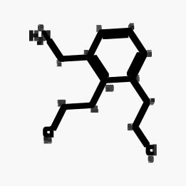 NCc1cccc(CCCl)c1CCCl